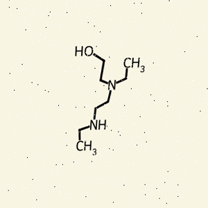 CCNCCN(CC)CCO